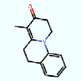 CC1=C2CCc3ccccc3N2CCC1=O